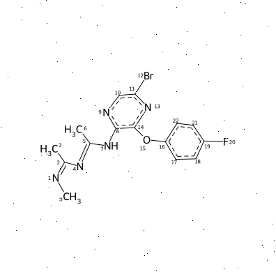 C/N=C(C)\N=C(/C)Nc1ncc(Br)nc1Oc1ccc(F)cc1